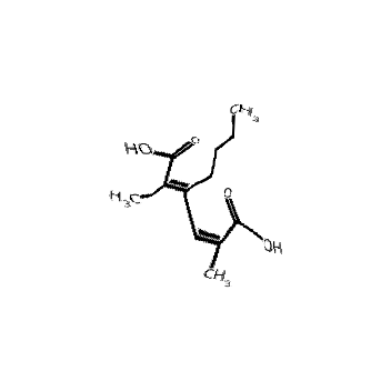 CCCCC(C=C(C)C(=O)O)=C(C)C(=O)O